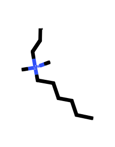 [CH2]CC[N+](C)(C)CCCCCC